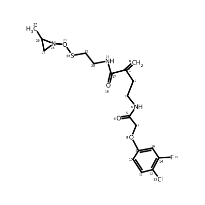 C=C(CCNC(=O)COc1ccc(Cl)c(F)c1)C(=O)NCCSON1CC1C